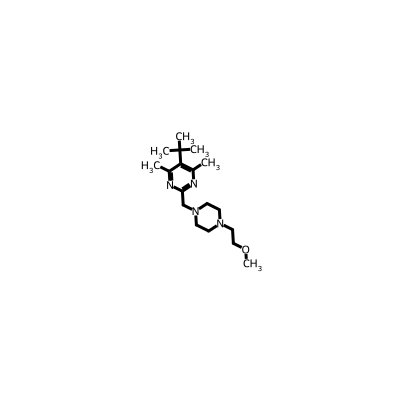 COCCN1CCN(Cc2nc(C)c(C(C)(C)C)c(C)n2)CC1